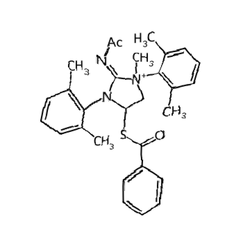 CC(=O)N=C1N(c2c(C)cccc2C)C(SC(=O)c2ccccc2)C[N+]1(C)c1c(C)cccc1C